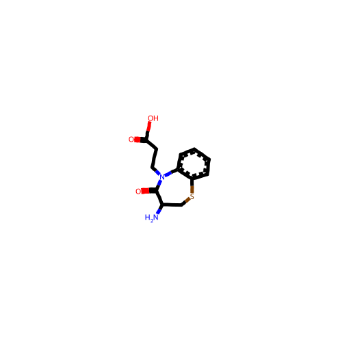 NC1CSc2ccccc2N(CCC(=O)O)C1=O